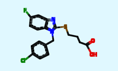 O=C(O)CCCSc1nc2cc(F)ccc2n1Cc1ccc(Cl)cc1